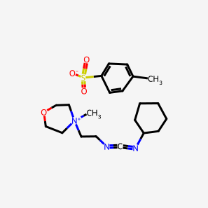 C[N+]1(CCN=C=NC2CCCCC2)CCOCC1.Cc1ccc(S(=O)(=O)[O-])cc1